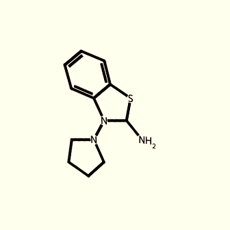 NC1Sc2ccccc2N1N1CCCC1